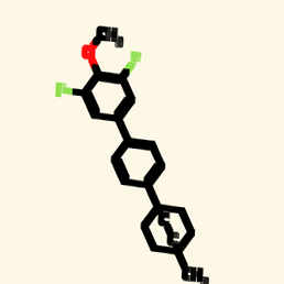 COc1c(F)cc(-c2ccc(C34CCC(C)(CC3)CC4)cc2)cc1F